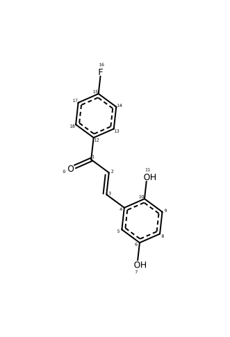 O=C(C=Cc1cc(O)ccc1O)c1ccc(F)cc1